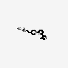 Cc1cscc1-c1cccc(N2CCC(CCNC(=O)O)CC2)n1